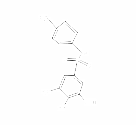 Cc1cc(S(=O)(=O)Nc2ccc([N+](=O)[O-])cc2)cc(C(=O)O)c1O